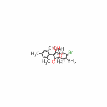 B[C@@H]1[C@@H](Br)[C@H]2O[C@@H]1[C@@H]1C(=O)C(c3c(C)cc(C)cc3C)=C(O)[C@H]21